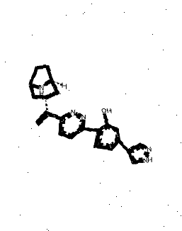 C=C(c1ccc(-c2ccc(-c3cn[nH]c3)cc2O)nn1)[C@@H]1CC2CC[C@@H](C1)N2